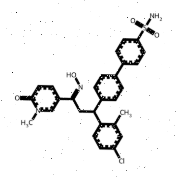 Cc1cc(Cl)ccc1C(CC(=NO)c1ccc(=O)n(C)c1)c1ccc(-c2ccc(S(N)(=O)=O)cc2)cc1